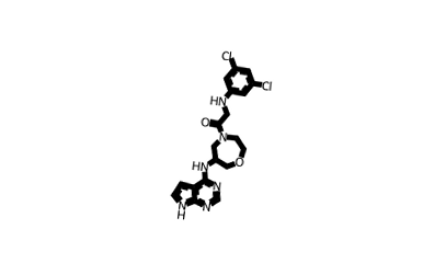 O=C(CNc1cc(Cl)cc(Cl)c1)N1CCOCC(Nc2ncnc3[nH]ccc23)C1